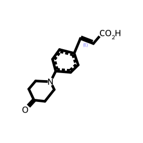 O=C(O)/C=C/c1ccc(N2CCC(=O)CC2)cc1